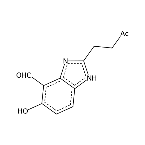 CC(=O)CCc1nc2c(C=O)c(O)ccc2[nH]1